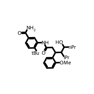 CCCC(O)C(C(C)C)C(CC(=O)Nc1cc(C(N)=O)ccc1C(C)(C)C)c1ccccc1OC